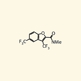 CNC(=O)c1oc2ccc(C(F)(F)F)cc2c1C(F)(F)F